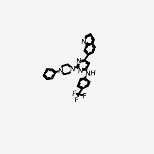 FC(F)(F)c1ccc(Nc2cc(-c3ccc4cccnc4c3)nc(N3CCN(c4ccccc4)CC3)n2)cc1